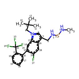 CNSNCc1cn(CC(C)(C)C)c2cc(-c3ccccc3C(F)(F)F)c(F)cc12